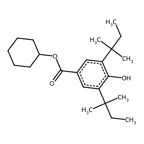 CCC(C)(C)c1cc(C(=O)OC2CCCCC2)cc(C(C)(C)CC)c1O